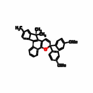 COc1ccc(C2(c3ccc(OC)cc3)C=Cc3c4c(c5ccccc5c3O2)-c2ccc(C)cc2C4(C)C)cc1